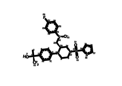 C[C@@](O)(c1ccc(N2CCN(S(=O)(=O)c3cccs3)C[C@@H]2C[S+]([O-])c2ccc(F)cc2)cc1)C(F)(F)F